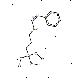 CCO[Si](CCCN/N=N\c1ccccc1)(OCC)OCC